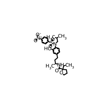 CCC1(C(=O)N[C@@H](C)CCc2ccc(N(CC(C)C)S(=O)(=O)c3ccc([N+](=O)[O-])cc3)c(O)c2)CCCO1